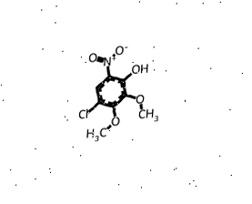 COc1c(Cl)cc([N+](=O)[O-])c(O)c1OC